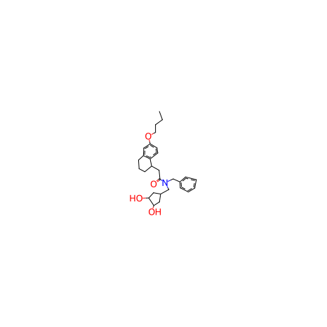 CCCCOc1ccc2c(c1)CCCC2CC(=O)N(Cc1ccccc1)CC1CC(O)C(O)C1